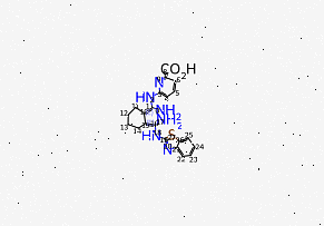 N/C(Nc1cccc(C(=O)O)n1)=C1/CCCC/C1=C(/N)Nc1nc2ccccc2s1